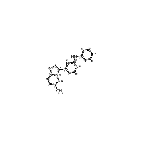 Cc1ccc2ncc(-c3ccnc(Nc4ccccc4)n3)n2n1